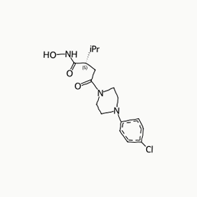 CC(C)[C@H](CC(=O)N1CCN(c2ccc(Cl)cc2)CC1)C(=O)NO